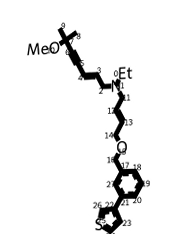 CCN(C/C=C/C#CC(C)(C)OC)C/C=C/COCc1cccc(-c2ccsc2)c1